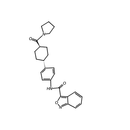 O=C(Nc1ccc([C@H]2CC[C@H](C(=O)N3CCCC3)CC2)cc1)c1onc2ccccc12